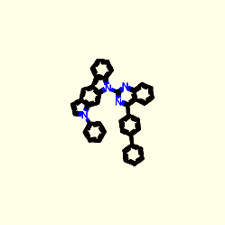 c1ccc(-c2ccc(-c3nc(-n4c5ccccc5c5cc6ccn(-c7ccccc7)c6cc54)nc4ccccc34)cc2)cc1